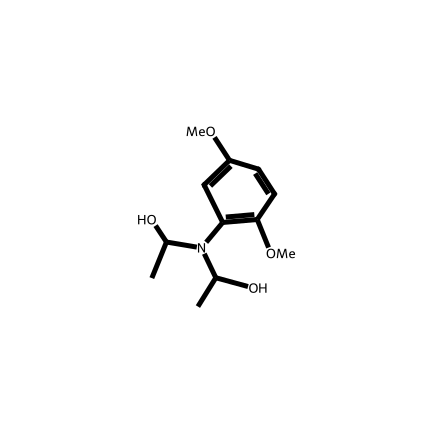 COc1ccc(OC)c(N(C(C)O)C(C)O)c1